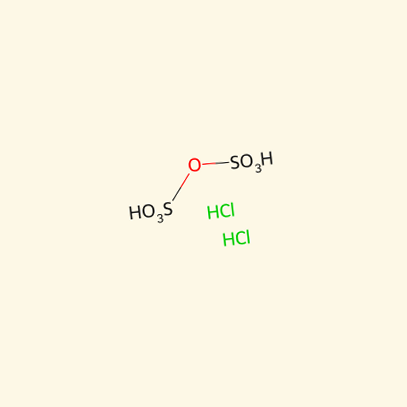 Cl.Cl.O=S(=O)(O)OS(=O)(=O)O